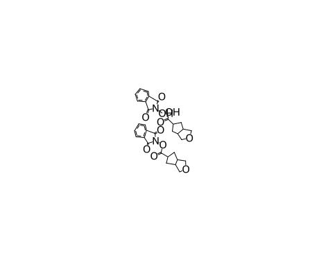 O=C(O)C1CC2COCC2C1.O=C(ON1C(=O)c2ccccc2C1=O)C1CC2COCC2C1.O=C1c2ccccc2C(=O)N1O